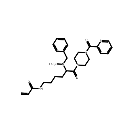 C=CC(=O)NCCCCC(C(=O)N1CCN(C(=O)c2ccccn2)CC1)N(Cc1ccccc1)C(=O)O